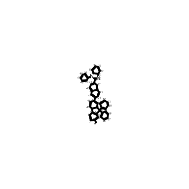 Cc1ccc2c(c1)C(c1ccccc1)(c1ccccc1)C1C=C(c3ccc4cc(C5=NC6C=CC=CC6N5c5ccccc5)ccc4c3)C=CC21